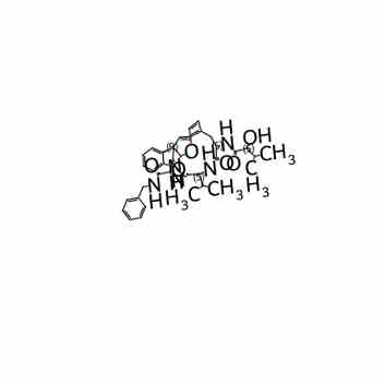 CC(C)[C@H](O)C(=O)N[C@H]1Cc2ccc3c(c2)[C@@]2(c4ccccc4NC2O3)c2oc(nc2C(=O)NCc2ccccc2)[C@H](C(C)C)NC1=O